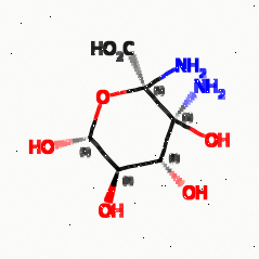 N[C@]1(O)[C@H](O)[C@@H](O)[C@H](O)O[C@]1(N)C(=O)O